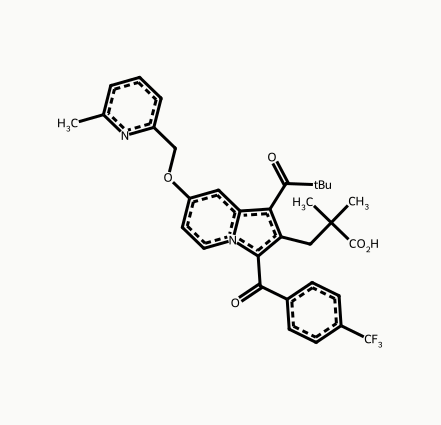 Cc1cccc(COc2ccn3c(C(=O)c4ccc(C(F)(F)F)cc4)c(CC(C)(C)C(=O)O)c(C(=O)C(C)(C)C)c3c2)n1